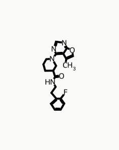 Cc1coc2ncnc(N3CCCC(C(=O)NCCc4ccccc4F)C3)c12